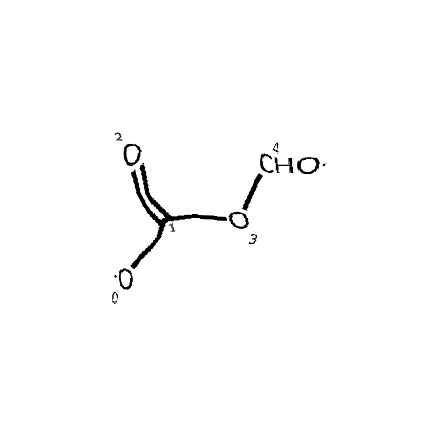 [O]C(=O)O[C]=O